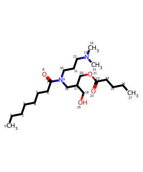 CCCCCCCC(=O)N(CCCN(C)C)CC(CO)COC(=O)CCCC